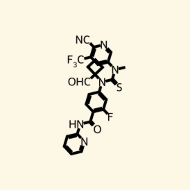 CN(C(=S)N(c1ccc(C(=O)Nc2ccccn2)c(F)c1)C1(C=O)CCC1)c1cnc(C#N)c(C(F)(F)F)c1